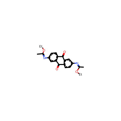 CCOC(C)=Nc1ccc2c(c1)C(=O)c1ccc(N=C(C)OCC)cc1C2=O